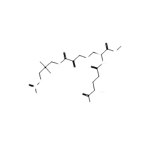 COC(=O)[C@H](CSCC(=O)C(=O)NCC(C)(C)CO[N+](=O)[O-])NC(=O)CC[C@H](N)C(=O)O